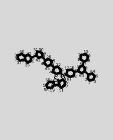 c1ccc(-c2cc(-c3ccccc3)cc(-c3ccc(N(c4ccc(-c5ccc(-c6cccc(-c7ccc8ccccc8c7)c6)cc5)cc4)c4cccc5c4sc4ccccc45)cc3)c2)cc1